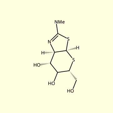 CNC1=N[C@H]2[C@@H](S1)S[C@H](CO)C(O)[C@@H]2O